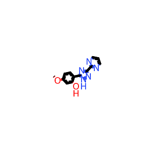 COc1ccc(-c2nc(-c3ncccn3)n[nH]2)c(O)c1